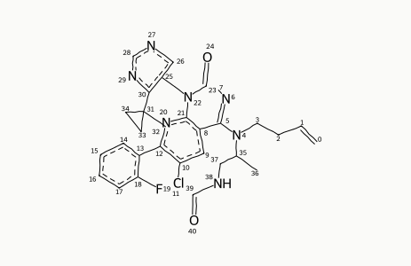 C=CCCN(/C(=N/C)c1cc(Cl)c(-c2ccccc2F)nc1N(C=O)c1cncnc1C1(C)CC1)C(C)CNC=O